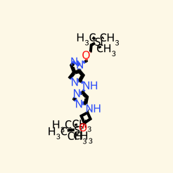 CC(C)(C)[Si](C)(C)O[C@H]1C[C@H](Nc2cc(Nc3cc4c(cn3)cnn4COCC[Si](C)(C)C)ncn2)C1